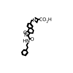 O=C(NCCCc1ccccc1)c1noc2c1CCc1cc(CN3CC(C(=O)O)C3)ccc1-2